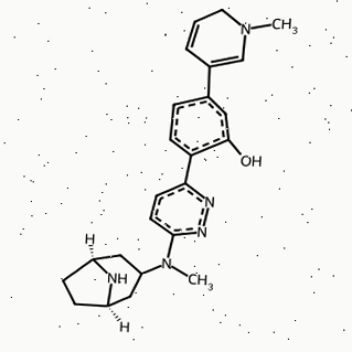 CN1C=C(c2ccc(-c3ccc(N(C)C4C[C@H]5CC[C@@H](C4)N5)nn3)c(O)c2)C=CC1